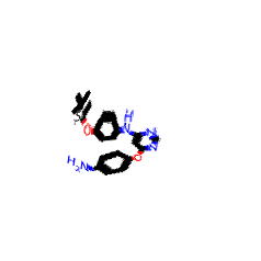 CC(C)(C)[Si](C)(C)Oc1ccc(Nc2cc(Oc3ccc(N)cc3)ncn2)cc1